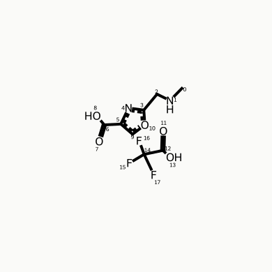 CNCc1nc(C(=O)O)co1.O=C(O)C(F)(F)F